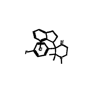 CN1CCNC(c2ccc(F)cc2)(C2CCc3cccc(Cl)c32)C1(C)C